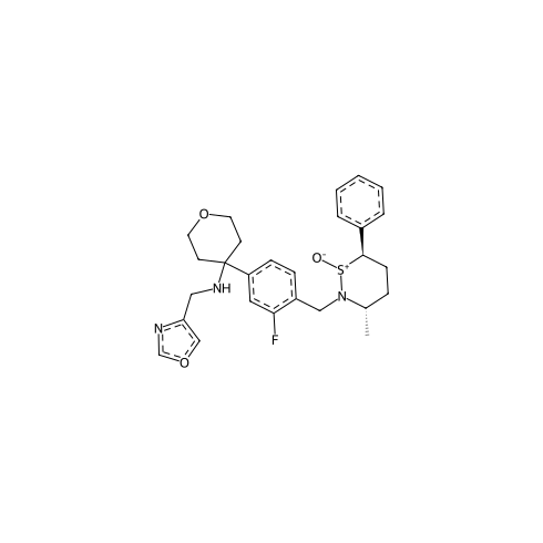 C[C@H]1CC[C@H](c2ccccc2)[S+]([O-])N1Cc1ccc(C2(NCc3cocn3)CCOCC2)cc1F